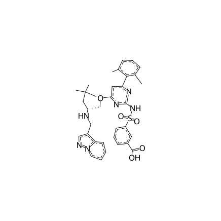 Cc1cccc(C)c1-c1cc(OC[C@@H](CC(C)(C)C)NCc2cnn3ccccc23)nc(NS(=O)(=O)c2cccc(C(=O)O)c2)n1